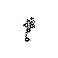 Cc1cccc(CCOc2ccc(-c3cnc(C)c([C@H](OC(C)(C)C)C(=O)OC(C)C)c3N3CCC(C)(C)CC3)nc2)c1